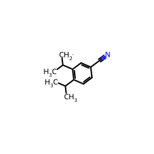 [CH2]C(C)c1cc(C#N)ccc1C(C)C